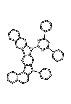 c1ccc(-c2nc(-c3ccccc3)nc(-n3c4cc5ccccc5cc4c4cc5c6c7ccccc7ccc6n(-c6ccccc6)c5cc43)n2)cc1